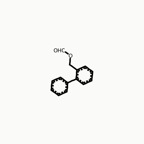 O=COCc1ccccc1-c1ccccc1